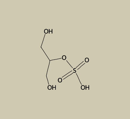 O=S(=O)(O)OC(CO)CO